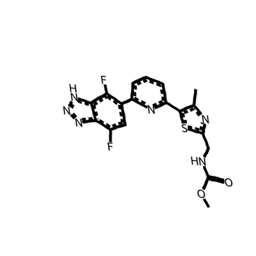 COC(=O)NCc1nc(C)c(-c2cccc(-c3cc(F)c4nn[nH]c4c3F)n2)s1